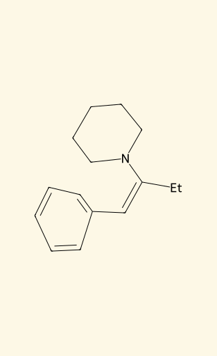 CC/C(=C/c1ccccc1)N1CCCCC1